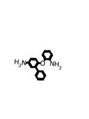 Nc1ccc(Oc2ccccc2N)c(-c2ccccc2)c1